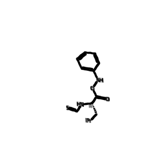 CC(C)C[C@H](NC=S)C(=O)ONc1ccccc1